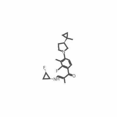 CC(=CN[C@@H]1C[C@@H]1F)C(=O)c1ccc(N2CC[C@@H](C3(C)CC3)C2)c(C)c1F